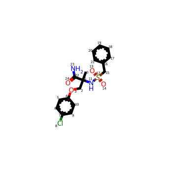 CC(COc1ccc(Cl)cc1)(NS(=O)(=O)Cc1ccccc1)C(N)=O